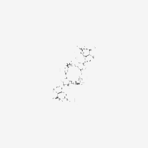 Nc1nc2c(ncn2C2OC3CNP(=O)(O)OC4C(CNP(=O)(O)OC3C2F)OC(n2cnc3c(=O)[nH]c(N)nc32)C4F)c(=O)[nH]1